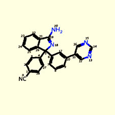 N#Cc1ccc(C2(c3cccc(-c4cncnc4)c3)N=C(N)c3ccccc32)cc1